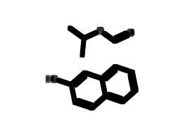 CC(C)OC=O.Oc1ccc2ccccc2c1